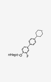 CCCCCCCOc1ccc(-c2ccc(C3CC[CH]CC3)cc2)cc1F